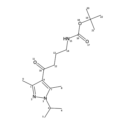 Cc1nn(C(C)C)c(C)c1C(=O)CCCNC(=O)OC(C)(C)C